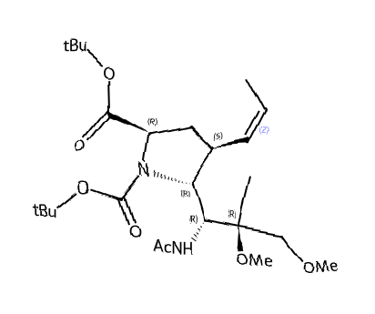 C/C=C\[C@@H]1C[C@H](C(=O)OC(C)(C)C)N(C(=O)OC(C)(C)C)[C@H]1[C@@H](NC(C)=O)[C@](C)(COC)OC